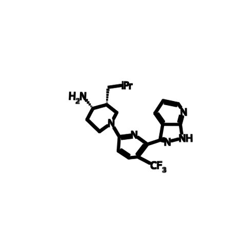 CC(C)C[C@@H]1CN(c2ccc(C(F)(F)F)c(-c3n[nH]c4ncccc34)n2)CC[C@@H]1N